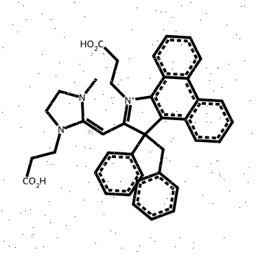 CN1CCN(CCC(=O)O)/C1=C/C1=[N+](CCC(=O)O)c2c(c3ccccc3c3ccccc23)C1(Cc1ccccc1)c1ccccc1